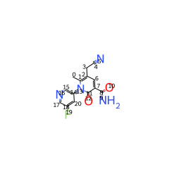 Cc1c(CC#N)cc(C(N)=O)c(=O)n1-c1cncc(F)c1